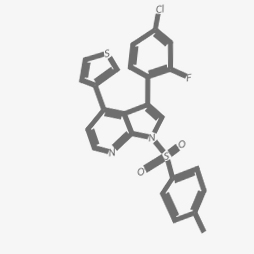 Cc1ccc(S(=O)(=O)n2cc(-c3ccc(Cl)cc3F)c3c(-c4ccsc4)ccnc32)cc1